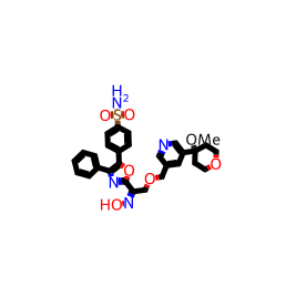 COC1(c2cncc(COC/C(=N/O)c3nc(-c4ccccc4)c(-c4ccc(S(N)(=O)=O)cc4)o3)c2)CCOCC1